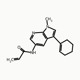 C=CC(=O)Nc1cnc2c(c1)c(C1=CCCCC1)cn2C